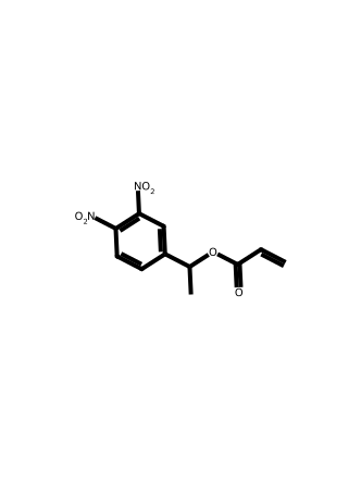 C=CC(=O)OC(C)c1ccc([N+](=O)[O-])c([N+](=O)[O-])c1